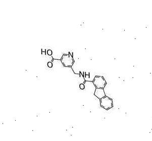 O=C(O)c1cncc(CNC(=O)c2cccc3c2Cc2ccccc2-3)c1